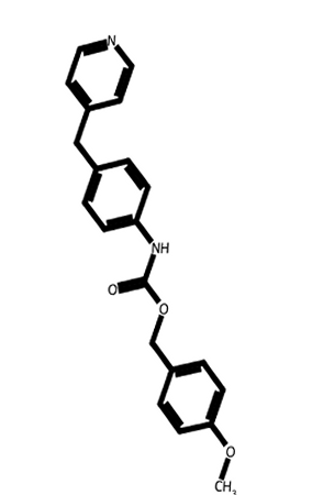 COc1ccc(COC(=O)Nc2ccc(Cc3ccncc3)cc2)cc1